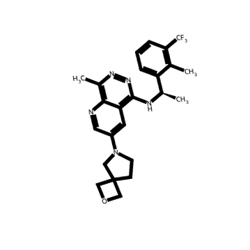 Cc1c([C@@H](C)Nc2nnc(C)c3ncc(N4CCC5(COC5)C4)cc23)cccc1C(F)(F)F